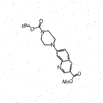 COC(=O)c1cnc2cc(N3CCN(C(=O)OC(C)(C)C)CC3)ccc2c1